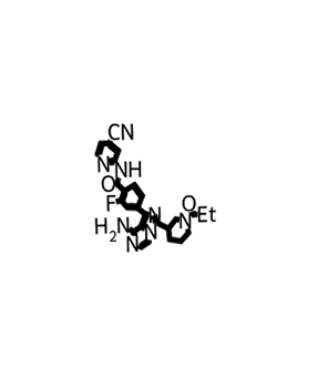 CCC(=O)N1CCCC(c2nc(-c3ccc(C(=O)Nc4cc(C#N)ccn4)c(F)c3)c3c(N)nccn23)C1